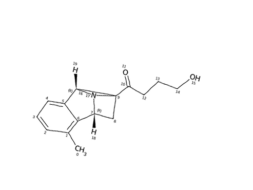 Cc1cccc2c1[C@H]1CC3(C(=O)CCCO)[C@@H]2N13